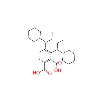 CCC(c1ccc(C(=O)O)c(C(=O)O)c1C(CC)C1CCCCC1)C1CCCCC1